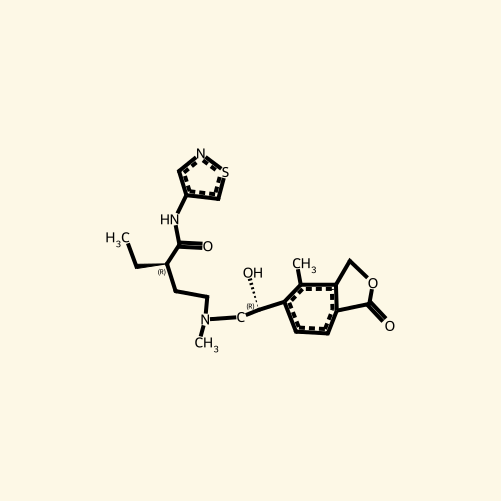 CC[C@H](CCN(C)C[C@H](O)c1ccc2c(c1C)COC2=O)C(=O)Nc1cnsc1